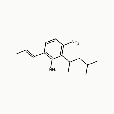 CC=Cc1ccc(N)c(C(C)CC(C)C)c1N